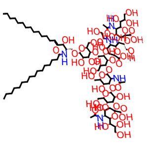 CCCCCCCCCCCCC/C=C/[C@@H](O)[C@H](CO[C@@H]1OC(CO)[C@@H](O[C@@H]2OC(CO)[C@H](O[C@@H]3OC(CO)[C@H](O)[C@H](O[C@@H]4OC(CO)[C@H](O)[C@H](O[C@]5(C(=O)O)CC(O)[C@@H](NC(C)=O)C([C@H](O)[C@H](O)CO)O5)C4O)C3NC(C)=O)[C@H](O[C@]3(C(=O)O)CC(O)[C@@H](NC(=O)CO)C([C@H](O)[C@@H](CO)O[C@]4(C(=O)O)CC(O)[C@@H](NC(C)=O)C([C@H](O)[C@H](O)CO)O4)O3)C2O)[C@H](O)C1O)NC(=O)CCCCCCCCCCCCCCC